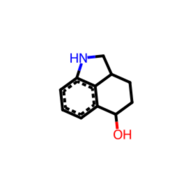 OC1CCC2CNc3cccc1c32